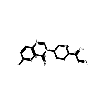 Cc1ccc2ncn(C3CCC(C(=O)C=O)NC3)c(=O)c2c1